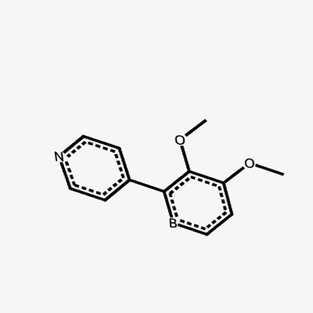 COc1ccbc(-c2ccncc2)c1OC